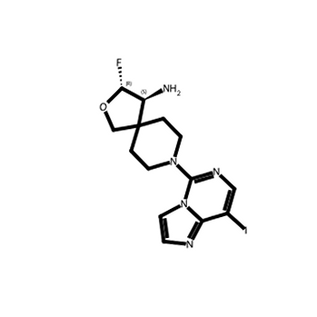 N[C@@H]1[C@@H](F)OCC12CCN(c1ncc(I)c3nccn13)CC2